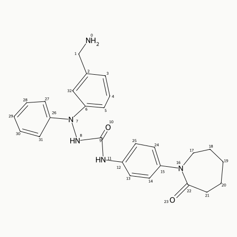 NCc1cccc(N(NC(=O)Nc2ccc(N3CCCCCC3=O)cc2)c2ccccc2)c1